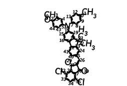 COc1ccc(N(c2ccc(C)cc2)c2ccc3c(c2)C(C)(C)c2cc(C=C4C(=O)c5c(Cl)ccc(Cl)c5C4=O)ccc2-3)cc1